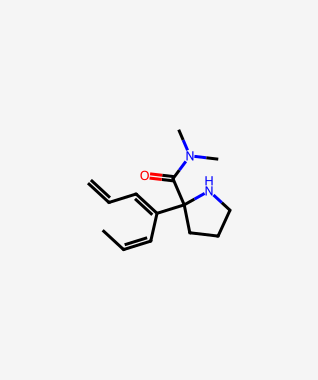 C=C/C=C(\C=C/C)C1(C(=O)N(C)C)CCCN1